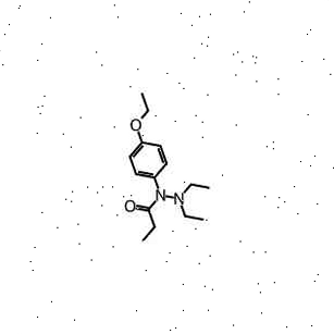 CCOc1ccc(N(C(=O)CC)N(CC)CC)cc1